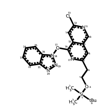 CC(C)(C)[Si](C)(C)OCCc1cc2cnc(Cl)cc2c(On2nnc3ccccc32)n1